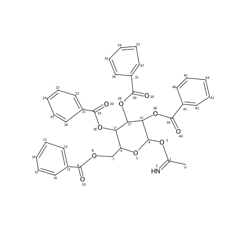 CC(=N)OC1OC(COC(=O)c2ccccc2)C(OC(=O)c2ccccc2)C(OC(=O)c2ccccc2)C1OC(=O)c1ccccc1